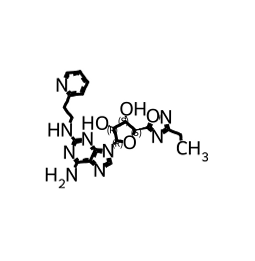 CCc1noc([C@H]2O[C@@H](n3cnc4c(N)nc(NCCc5ccccn5)nc43)[C@H](O)[C@@H]2O)n1